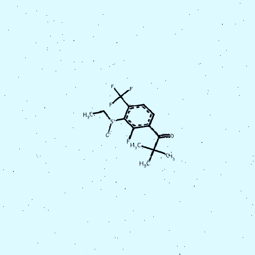 CC[S+]([O-])c1c(C(F)(F)F)ccc(C(=O)C(C)(C)C)c1F